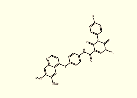 CCn1cc(C(=O)Nc2ccc(Sc3ccnc4cc(OC)c(OC)cc34)cc2)c(=O)n(-c2ccc(F)cc2)c1=O